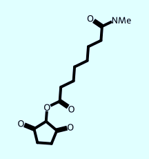 CNC(=O)CCCCCCC(=O)OC1C(=O)CCC1=O